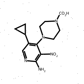 Nc1ncc(C2CC2)c(N2CCN(C(=O)O)CC2)c1[N+](=O)[O-]